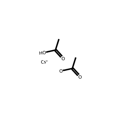 CC(=O)O.CC(=O)[O-].[Cs+]